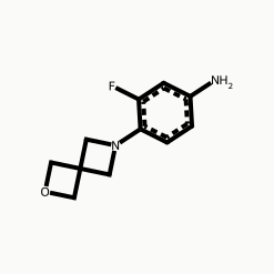 Nc1ccc(N2CC3(COC3)C2)c(F)c1